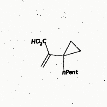 C=C(C(=O)O)C1(CCCCC)CC1